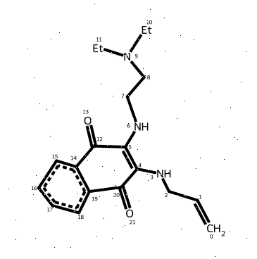 C=CCNC1=C(NCCN(CC)CC)C(=O)c2ccccc2C1=O